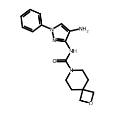 Nc1cn(-c2ccccc2)nc1NC(=O)N1CCC2(CC1)COC2